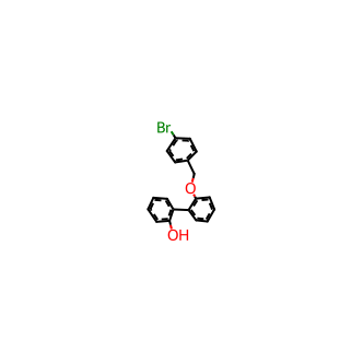 Oc1ccccc1-c1ccccc1OCc1ccc(Br)cc1